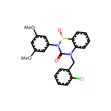 COc1cc(OC)cc(N2C(=O)N(Cc3ccccc3Cl)c3ccccc3[S+]2[O-])c1